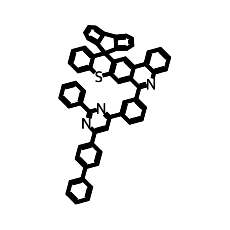 c1ccc(-c2ccc(-c3cc(-c4cccc(-c5nc6ccccc6c6cc7c(cc56)Sc5ccccc5C75c6ccccc6-c6ccccc65)c4)nc(-c4ccccc4)n3)cc2)cc1